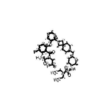 CCN(CC)S(=O)(=O)N[C@@H]1CC[C@@H](CN2CCC3(CC2)CN(c2ncncc2Oc2ccc(F)cc2C(=O)N(CC(F)F)C(C)C)C3)OC1